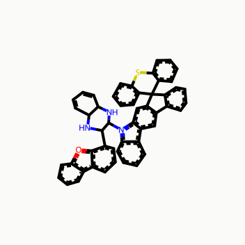 C1=CC2NC(c3cccc4c3oc3ccccc34)C(n3c4ccccc4c4cc5c(cc43)C3(c4ccccc4Sc4ccccc43)c3ccccc3-5)NC2C=C1